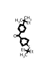 CCC(C)(CC)Sc1ccc(C(=O)c2ccc(C(C)(C)CC)cc2)cc1